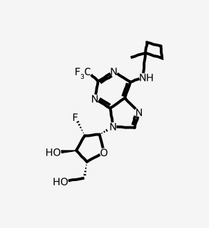 CC1(Nc2nc(C(F)(F)F)nc3c2ncn3[C@@H]2O[C@H](CO)[C@@H](O)[C@@H]2F)CCC1